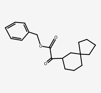 O=C(OCc1ccccc1)C(=O)C1CCCC2(CCCC2)C1